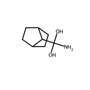 NC(O)(O)C1C2CCC1CC2